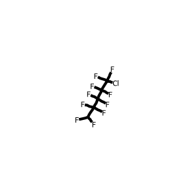 FC(F)C(F)(F)C(F)(F)C(F)(F)C(F)(F)Cl